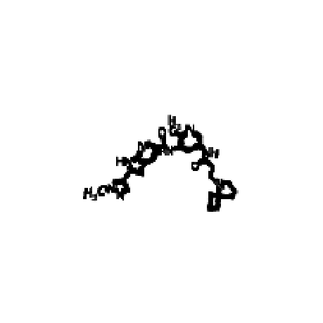 Cc1ncc(NC(=O)CCN2CCCC23CCC3)cc1NC(=O)c1cnc2[nH]c(-c3cnn(C)c3)cc2c1